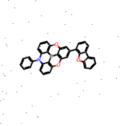 c1ccc(N2c3cccc4c3B3c5c(cc(-c6cccc7c6oc6ccccc67)cc5Oc5cccc2c53)O4)cc1